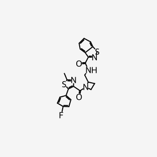 Cc1nc(C(=O)N2CCC2CNC(=O)c2nsc3ccccc23)c(-c2ccc(F)cc2)s1